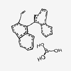 C=Cc1ccc2ccccc2c1-c1cccc2ccccc12.OB(O)O